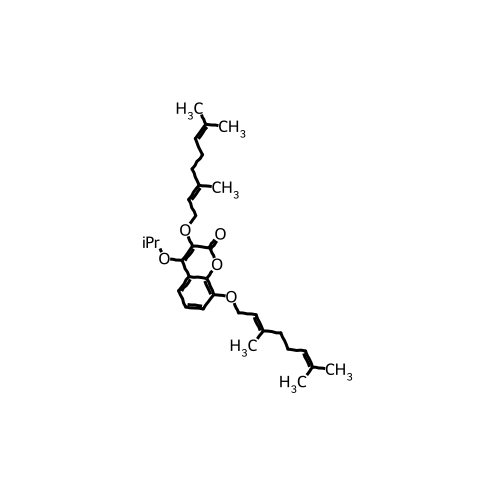 CC(C)=CCC/C(C)=C/COc1c(OC(C)C)c2cccc(OC/C=C(\C)CCC=C(C)C)c2oc1=O